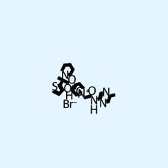 Cc1cnc(NC(=O)C[N+]23CCC(CC2)[C@@H](OC(=O)C(C)(c2cccs2)N2CCCCC2)C3)cn1.[Br-]